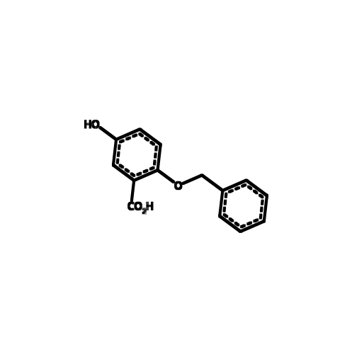 O=C(O)c1cc(O)ccc1OCc1ccccc1